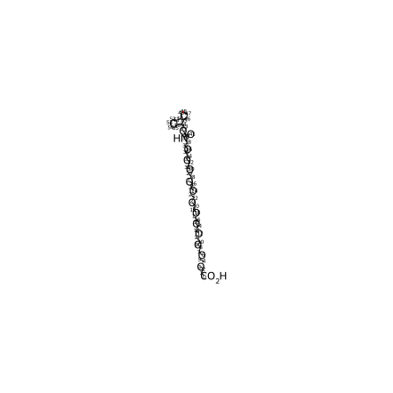 O=C(O)CCOCCOCCOCCOCCOCCOCCOCCOCCOCCOCCOCCOCCNC(=O)OCC1c2ccccc2-c2ccccc21